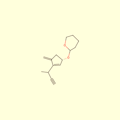 C#CC(C)C1=C[C@@H](OC2CCCCO2)CC1=C